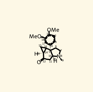 COc1ccc([C@]23CCN(C)[C@H]2CC(=O)[C@H]2CC23)cc1OC